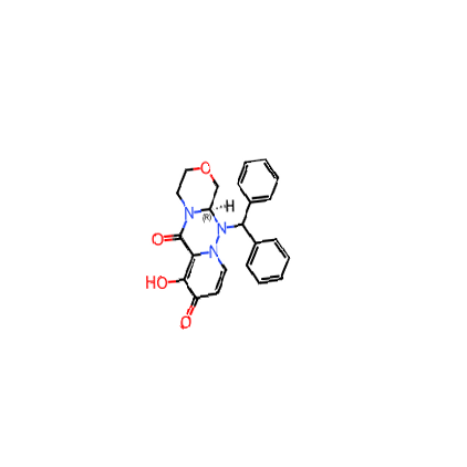 O=C1c2c(O)c(=O)ccn2N(C(c2ccccc2)c2ccccc2)[C@@H]2COCCN12